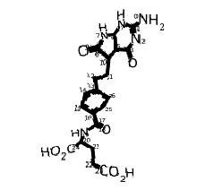 NC1=NC(=O)C2C(NC(=O)C2CCc2ccc(C(=O)NC(CCC(=O)O)C(=O)O)cc2)N1